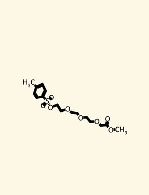 COC(=O)COCCOCCOCCOS(=O)(=O)c1ccc(C)cc1